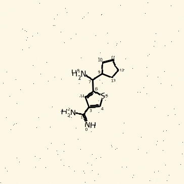 N=C(N)c1csc(C(N)C2CCCC2)c1